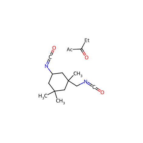 CC1(C)CC(N=C=O)CC(C)(CN=C=O)C1.CCC(=O)C(C)=O